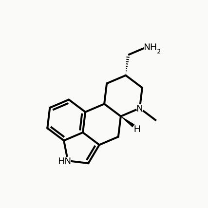 CN1C[C@@H](CN)CC2c3cccc4[nH]cc(c34)C[C@H]21